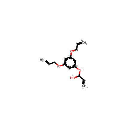 C=CCOc1cc(OCC=C)cc(OC(O)C=C)c1